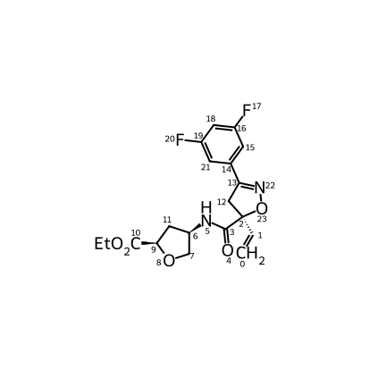 C=C[C@]1(C(=O)N[C@H]2CO[C@@H](C(=O)OCC)C2)CC(c2cc(F)cc(F)c2)=NO1